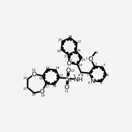 COc1cccnc1[C@H](NS(=O)(=O)c1ccc2c(c1)OCCCO2)c1cc2ccccc2o1